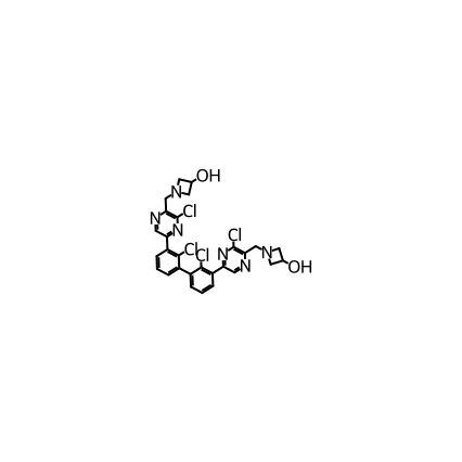 OC1CN(Cc2ncc(-c3cccc(-c4cccc(-c5cnc(CN6CC(O)C6)c(Cl)n5)c4Cl)c3Cl)nc2Cl)C1